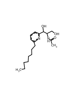 CCCCCCCCc1cccc(C(O)C(CO)NC(C)=O)n1